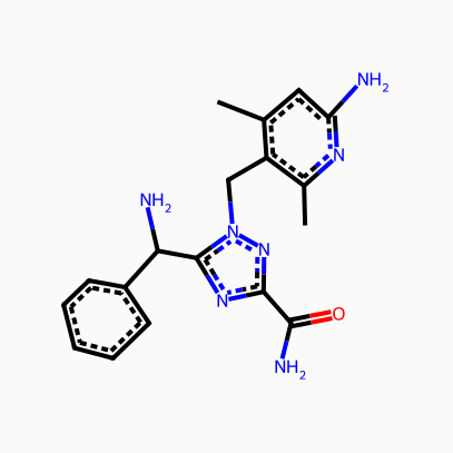 Cc1cc(N)nc(C)c1Cn1nc(C(N)=O)nc1C(N)c1ccccc1